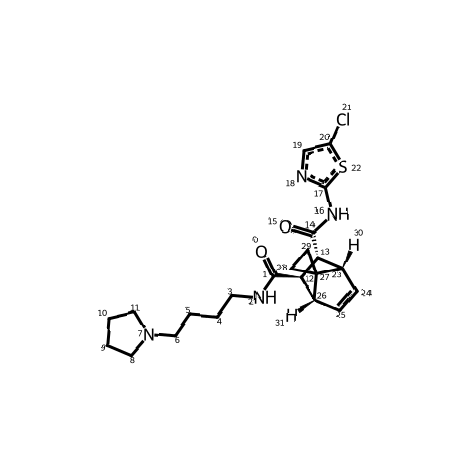 O=C(NCCCCN1CCCC1)[C@H]1[C@H](C(=O)Nc2ncc(Cl)s2)[C@@H]2C=C[C@H]1C21CC1